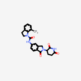 O=C1CCC(N2Cc3cc(NC(=O)N4CCc5cccc(C(F)(F)F)c54)ccc3C2=O)C(=O)N1